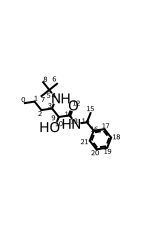 CCCC(NC(C)(C)C)C(O)C(=O)NC(C)c1ccccc1